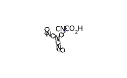 [C-]#[N+]/C(=C\c1ccc(N(c2ccc(-n3ccc4ccccc43)cc2)c2ccc(-n3ccc4ccccc43)cc2)cc1)C(=O)O